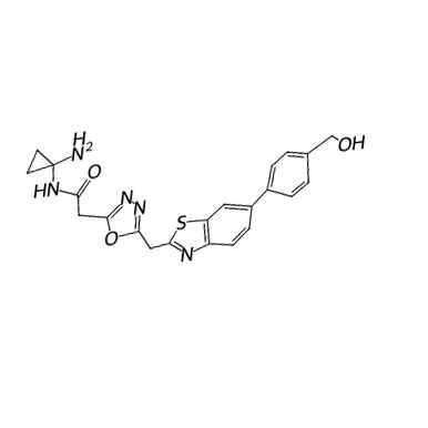 NC1(NC(=O)Cc2nnc(Cc3nc4ccc(-c5ccc(CO)cc5)cc4s3)o2)CC1